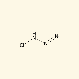 [N]=NNCl